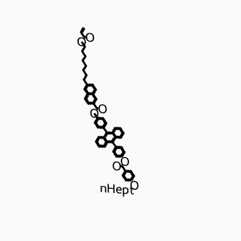 C=CC(=O)OCCCCCCCCc1ccc2cc(C(=O)Oc3ccc(-c4c5ccccc5c(-c5ccc(OC(=O)c6ccc(OCCCCCCC)cc6)cc5)c5ccccc45)cc3)ccc2c1